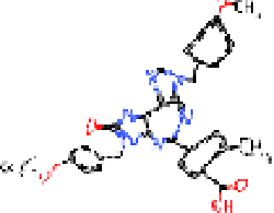 COc1ccc(Cn2c3nc(-c4ccc(C(=O)O)c(C)c4)nc4c(ncn4Cc4ccc(OC)cc4)c-3nc2=O)cc1